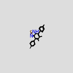 CC1=C(c2ccc(C)cc2)C2=NSNC2C(c2ccc(C)cc2)=C1C